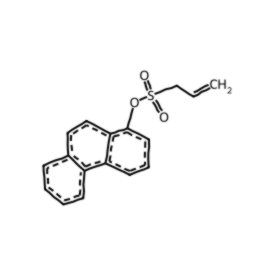 C=CCS(=O)(=O)Oc1cccc2c1ccc1ccccc12